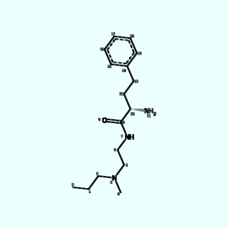 CCCN(C)CCNC(=O)[C@@H](N)CCc1ccccc1